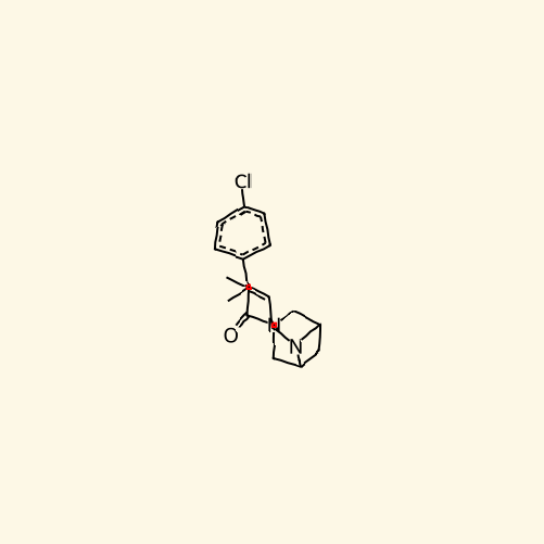 CCC(=O)N1CC2CC(C1)N2C/C=C(\C)c1ccc(Cl)cc1